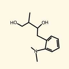 CC(CO)C(O)Cc1ccccc1N(C)C